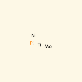 [Mo].[Ni].[P].[Ti]